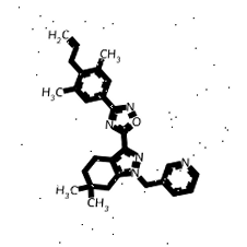 C=CCc1c(C)cc(-c2noc(-c3nn(Cc4cccnc4)c4c3CCC(C)(C)C4)n2)cc1C